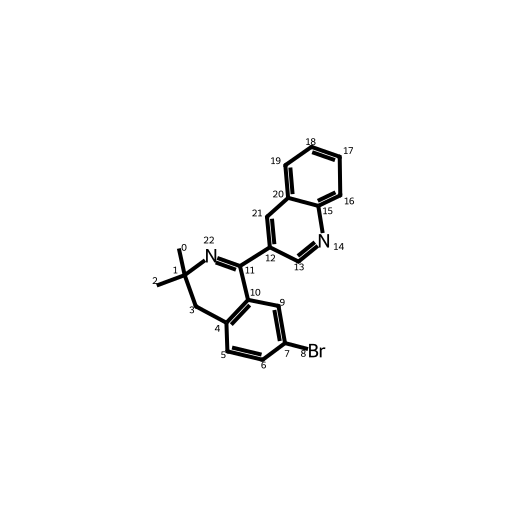 CC1(C)Cc2ccc(Br)cc2C(c2cnc3ccccc3c2)=N1